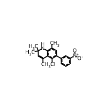 CC1=CC(C)(C)Nc2c(C)cc(-c3cccc([N+](=O)[O-])c3)c(Cl)c21